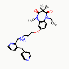 CCN1C(=O)C(C)(C)C(=O)N(C)c2cc(OCCCNCc3ncccc3Cc3ccncc3)ccc21